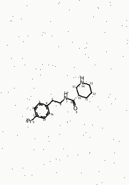 CC(C)c1ccc(CCNC(=O)[C@H]2CCCNC2)cc1